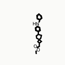 CCOC(=O)CC1CC2(CCC(c3ccc(NCc4ccccc4)cc3)CC2)C1